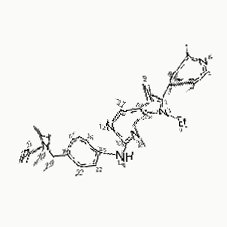 CCn1c(-c2ccncc2)nc2cnc(Nc3ccc(CNC(C)C)cc3)nc21